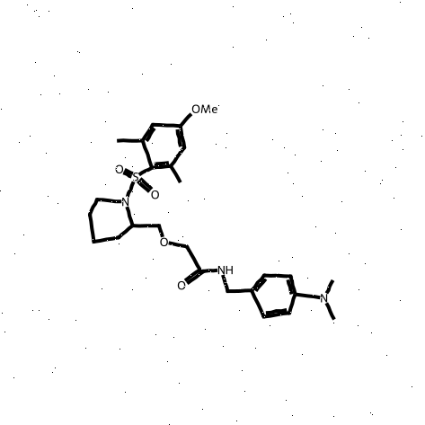 COc1cc(C)c(S(=O)(=O)N2CCCCC2COCC(=O)NCc2ccc(N(C)C)cc2)c(C)c1